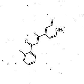 C=C/C=C(\C=C/N)C(/C)=C/C(=O)c1ccccc1C